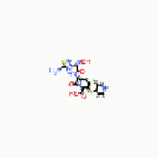 Nc1nc(/C(=N/O)C(=O)NC2C(=O)N3C(C(=O)O)=C(Sc4ccncc4F)CCC23)ns1